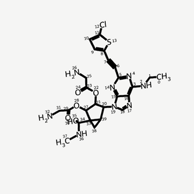 CCNc1nc(C#Cc2ccc(Cl)s2)nc2c1ncn2C1C(OC(=O)CN)C(OC(=O)CN)C2(C(O)NC)CC12